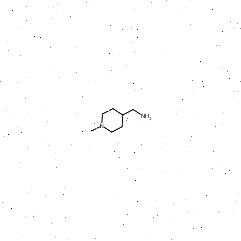 [CH2]N1CCC(CN)CC1